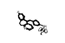 CS(=O)(=O)Nc1ccc(/C=C2/c3ccc(F)cc3CCc3ncccc32)cc1